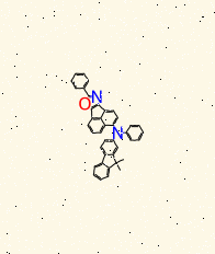 CC1(C)c2ccccc2-c2ccc(N(c3ccccc3)c3ccc4c5c(cccc35)-c3oc(-c5ccccc5)nc3-4)cc21